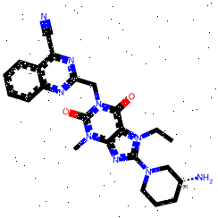 CCn1c(N2CCC[C@@H](N)C2)nc2c1c(=O)n(Cc1nc(C#N)c3ccccc3n1)c(=O)n2C